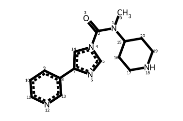 CN(C(=O)n1cnc(-c2cccnc2)c1)C1CCNCC1